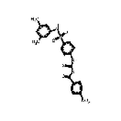 Cc1cc(C)cc(NS(=O)(=O)c2ccc(NC(=S)NC(=O)c3ccc([N+](=O)[O-])cc3)cc2)c1